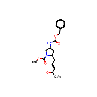 COC(=O)/C=C/C[C@@H]1C[C@H](NC(=O)OCc2ccccc2)CN1C(=O)OC(C)(C)C